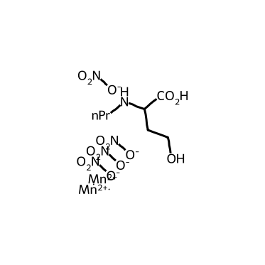 CCCNC(CCO)C(=O)O.O=[N+]([O-])[O-].O=[N+]([O-])[O-].O=[N+]([O-])[O-].O=[N+]([O-])[O-].[Mn+2].[Mn+2]